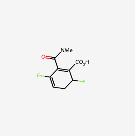 CNC(=O)C1=C(C(=O)O)C(F)CC=C1F